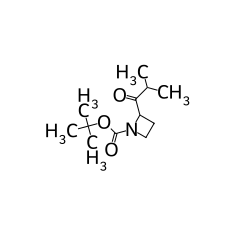 CC(C)C(=O)C1CCN1C(=O)OC(C)(C)C